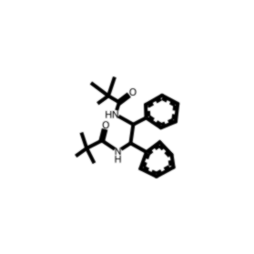 CC(C)(C)C(=O)NC(c1ccccc1)C(NC(=O)C(C)(C)C)c1ccccc1